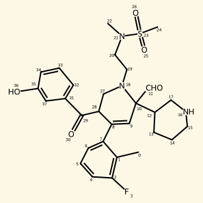 Cc1c(F)cccc1C1=CC(C=O)(C2CCCNC2)N(CCN(C)S(C)(=O)=O)CC1C(=O)c1cccc(O)c1